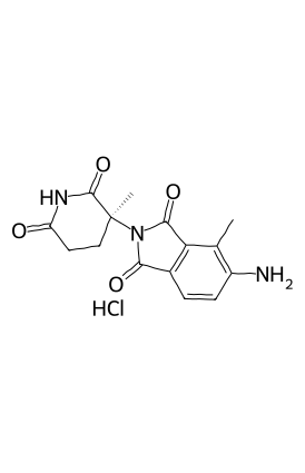 Cc1c(N)ccc2c1C(=O)N([C@@]1(C)CCC(=O)NC1=O)C2=O.Cl